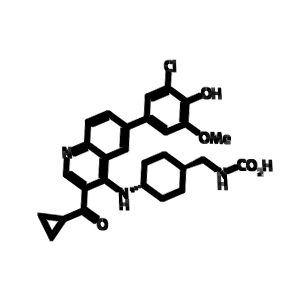 COc1cc(-c2ccc3ncc(C(=O)C4CC4)c(N[C@H]4CC[C@H](CNC(=O)O)CC4)c3c2)cc(Cl)c1O